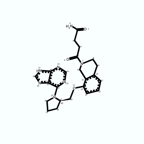 NC(=O)CCC(=O)N1CCc2cccc(OC[C@H]3CCCN3c3ncnc4[nH]cnc34)c2C1